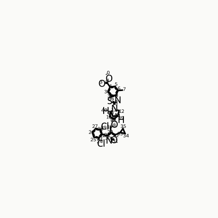 COC(=O)c1cc(C)c2nc(N3C[C@@H]4C[C@H]3C[C@H]4OCc3c(-c4c(Cl)cccc4Cl)noc3C3CC3)sc2c1